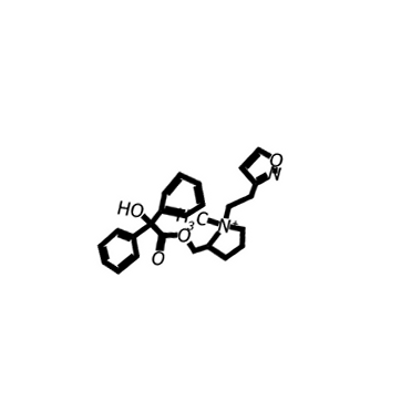 C[N+]1(CCc2ccon2)CCCC1COC(=O)C(O)(c1ccccc1)c1ccccc1